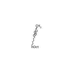 CC=COOOOCCCCCCCCCCCCCC